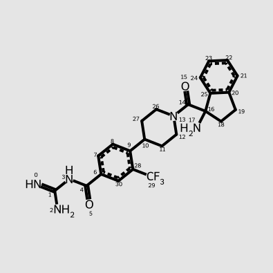 N=C(N)NC(=O)c1ccc(C2CCN(C(=O)C3(N)CCc4ccccc43)CC2)c(C(F)(F)F)c1